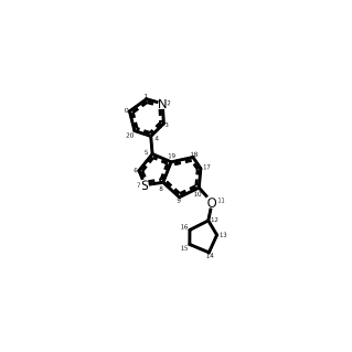 c1cncc(-c2csc3cc(OC4CCCC4)ccc23)c1